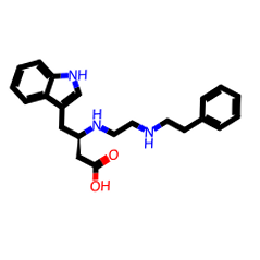 O=C(O)C[C@@H](Cc1c[nH]c2ccccc12)NCCNCCc1ccccc1